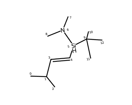 CC(C)C=C[SiH](N(C)C)C(C)(C)C